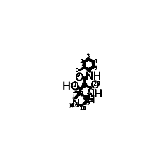 Cc1ccccc1NC(=O)C1=C(O)[C@@]2(C)CN(C)CC[C@@H]2NC1=O